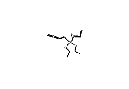 C=C=CC[Si](OCC)(OCC)OCC